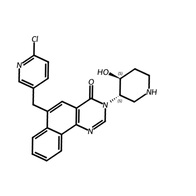 O=c1c2cc(Cc3ccc(Cl)nc3)c3ccccc3c2ncn1[C@H]1CNCC[C@@H]1O